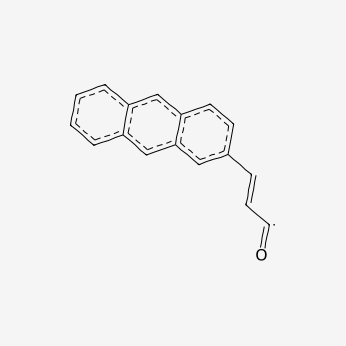 O=[C]C=Cc1ccc2cc3ccccc3cc2c1